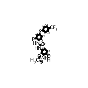 CS(=O)(=O)Nc1cc(NC(=O)Nc2ccc(Sc3ccc(C(F)(F)F)cc3)cc2F)ccc1O